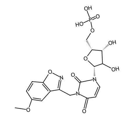 COc1ccc2onc(Cn3c(=O)ccn([C@@H]4O[C@H](COP(=O)(O)O)[C@H](O)C4O)c3=O)c2c1